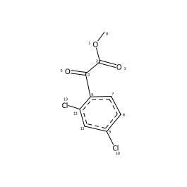 COC(=O)C(=O)c1ccc(Cl)cc1Cl